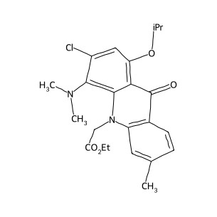 CCOC(=O)Cn1c2cc(C)ccc2c(=O)c2c(OC(C)C)cc(Cl)c(N(C)C)c21